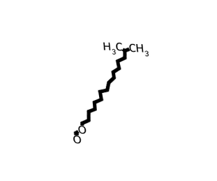 CC(C)CCCCCCCCCCCCCCOC=O